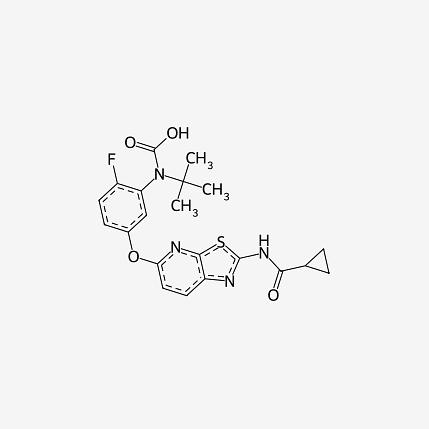 CC(C)(C)N(C(=O)O)c1cc(Oc2ccc3nc(NC(=O)C4CC4)sc3n2)ccc1F